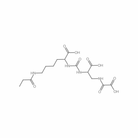 CCC(=O)NCCCCC(NC(=O)NC(CNC(=O)C(=O)O)C(=O)O)C(=O)O